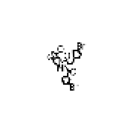 O=C(NC(Cc1ccc(Br)cc1)C(=O)N1CCC2OCC(=O)C21)c1cccc(Br)c1